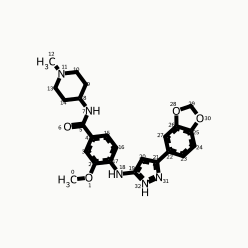 COc1cc(C(=O)NC2CCN(C)CC2)ccc1Nc1cc(-c2ccc3c(c2)OCO3)n[nH]1